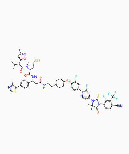 Cc1cc(C(C(=O)N2C[C@H](O)C[C@H]2C(=O)N[C@@H](CC(=O)NCCN2CCC(Oc3ccc(-c4ncc(N5C(=S)N(c6ccc(C#N)c(C(F)(F)F)c6F)C(=O)C5(C)C)cc4F)cc3F)CC2)c2ccc(-c3scnc3C)cc2)C(C)C)on1